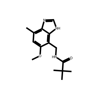 COc1cc(C)c2nc[nH]c2c1CNC(=O)C(C)(C)C